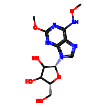 CONc1nc(OC)nc2c1ncn2[C@@H]1O[C@H](CO)C(O)C1O